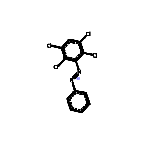 Clc1cc(Cl)c(Cl)c(/N=N/c2ccccc2)c1Cl